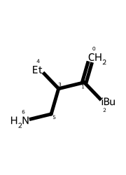 C=C(C(C)CC)C(CC)CN